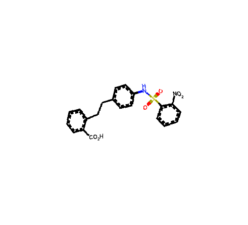 O=C(O)c1ccccc1CCc1ccc(NS(=O)(=O)c2ccccc2[N+](=O)[O-])cc1